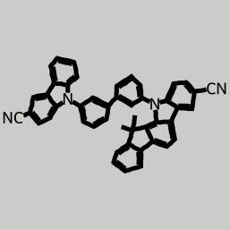 CC1(C)c2ccccc2-c2ccc3c4cc(C#N)ccc4n(-c4cccc(-c5cccc(-n6c7ccccc7c7cc(C#N)ccc76)c5)c4)c3c21